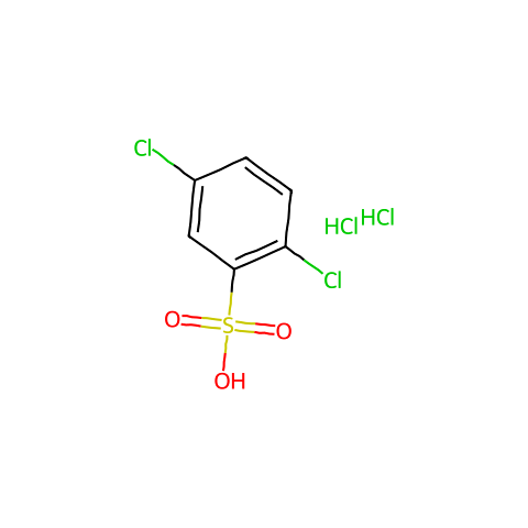 Cl.Cl.O=S(=O)(O)c1cc(Cl)ccc1Cl